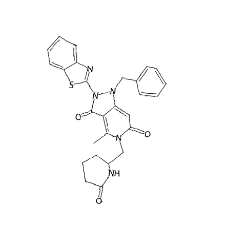 Cc1c2c(=O)n(-c3nc4ccccc4s3)n(Cc3ccccc3)c2cc(=O)n1CC1CCCC(=O)N1